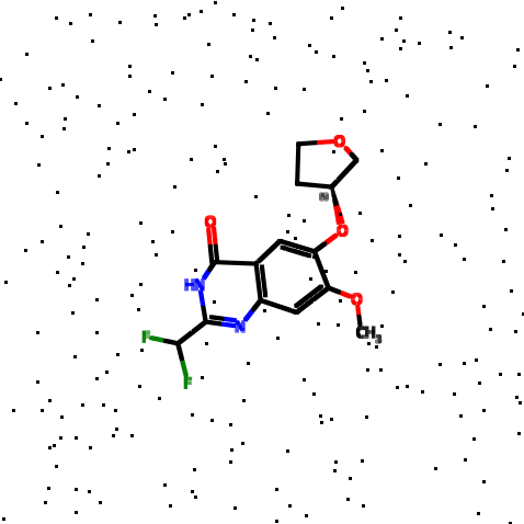 COc1cc2nc(C(F)F)[nH]c(=O)c2cc1O[C@H]1CCOC1